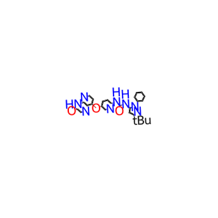 CC(C)(C)c1cc(NC(=O)Nc2ccc(Oc3ccnc4[nH]c(=O)cnc34)cn2)n(-c2ccccc2)n1